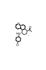 CC(=O)N1c2ccc3ncccc3c2[C@@H](Nc2ccc(Cl)cc2)C[C@H]1C